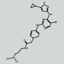 CCN(CC)CCCNC(=O)CC1C=CC(Nc2ncc(Br)c(Nc3cc(C4CC4)[nH]n3)n2)=CC1